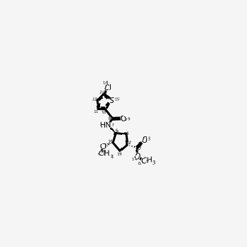 COC(=O)[C@H]1C[C@H](NC(=O)c2ccc(Cl)s2)[C@@H](OC)C1